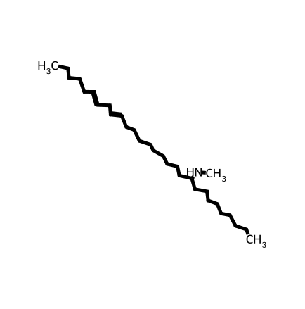 CCCCC/C=C/C/C=C/CCCCCCCCCC(CCCCCCCCC)NC